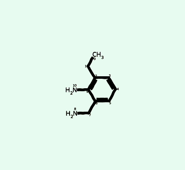 CCc1cccc(CN)c1N